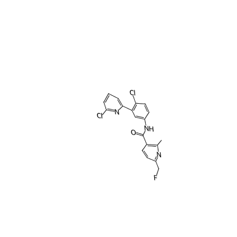 Cc1nc(CF)ccc1C(=O)Nc1ccc(Cl)c(-c2cccc(Cl)n2)c1